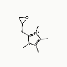 Cc1c(C)[n+](C)c(CC2CO2)n1C